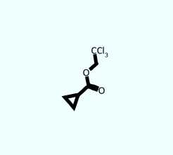 O=C(OCC(Cl)(Cl)Cl)C1CC1